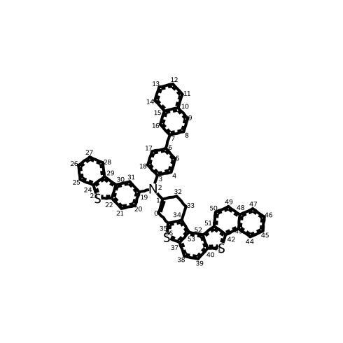 C1=C(N(c2ccc(-c3ccc4ccccc4c3)cc2)c2ccc3sc4ccccc4c3c2)CCc2c1sc1ccc3sc4c5ccccc5ccc4c3c21